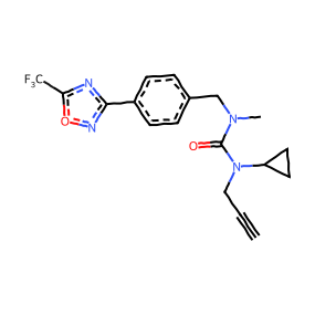 C#CCN(C(=O)N(C)Cc1ccc(-c2noc(C(F)(F)F)n2)cc1)C1CC1